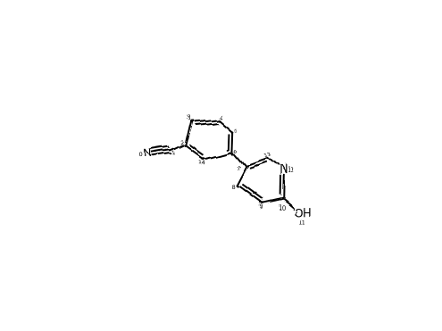 N#Cc1cccc(-c2ccc(O)nc2)c1